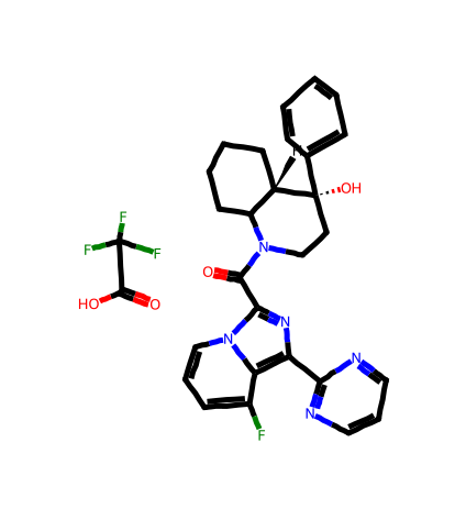 O=C(O)C(F)(F)F.O=C(c1nc(-c2ncccn2)c2c(F)cccn12)N1CC[C@](O)(c2ccccc2)[C@H]2CCCCC21